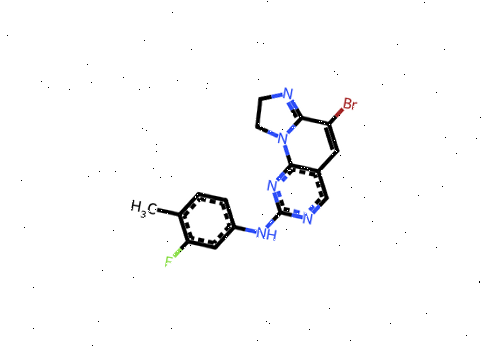 Cc1ccc(Nc2ncc3c(n2)N2CCN=C2C(Br)=C3)cc1F